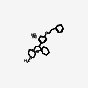 CN1CCN(CC(c2ccc(OCCc3ccccc3)cc2)C2(O)CCCCC2)CC1.Cl.Cl